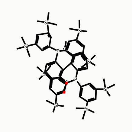 COc1cccc(P(c2cc([Si](C)(C)C)cc([Si](C)(C)C)c2)c2cc([Si](C)(C)C)cc([Si](C)(C)C)c2)c1-c1c(OC)cccc1P(c1cc([Si](C)(C)C)cc([Si](C)(C)C)c1)c1cc([Si](C)(C)C)cc([Si](C)(C)C)c1